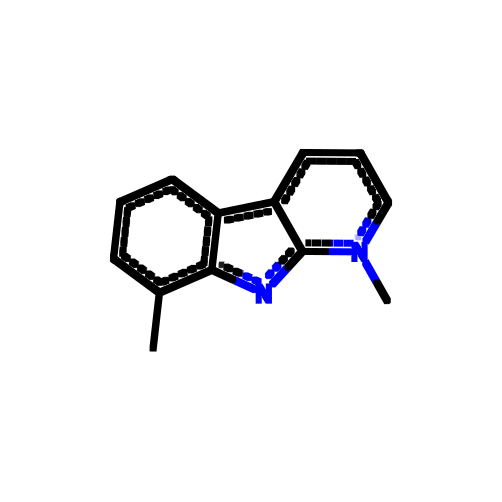 Cc1cccc2c3cccn(C)c-3nc12